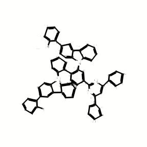 Cc1ccccc1-c1ccc2c(c1)c1ccccc1n2-c1ccccc1-c1ccc(-c2nc(-c3ccccc3)cc(-c3ccccc3)n2)cc1-n1c2ccccc2c2cc(-c3ccccc3C)ccc21